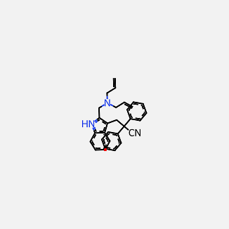 C=CCN(CC=C)Cc1[nH]c2ccccc2c1CC(C#N)(c1ccccc1)c1ccccc1